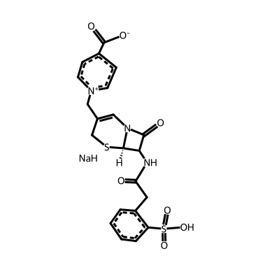 O=C(Cc1ccccc1S(=O)(=O)O)NC1C(=O)N2C=C(C[n+]3ccc(C(=O)[O-])cc3)CS[C@H]12.[NaH]